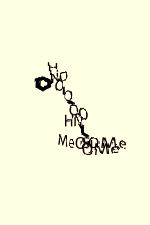 CO[Si](CCCNC(=O)OCCOCCOC(=O)Nc1ccccc1)(OC)OC